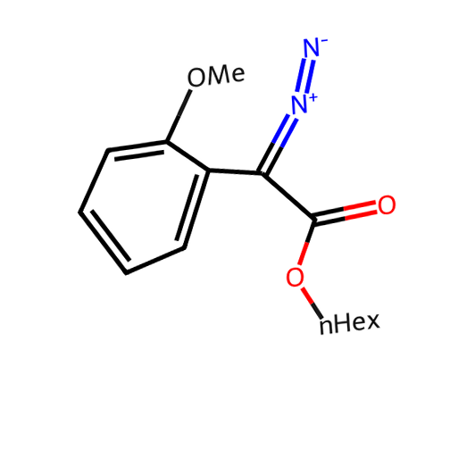 CCCCCCOC(=O)C(=[N+]=[N-])c1ccccc1OC